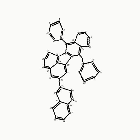 c1ccc(-c2c3c(c(-c4ccccc4)c4ccccc24)-c2cc(-c4cnc5ccccc5c4)cc4cccc-3c24)cc1